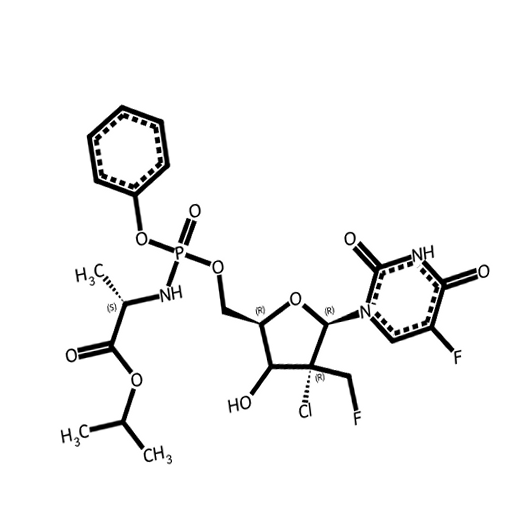 CC(C)OC(=O)[C@H](C)NP(=O)(OC[C@H]1O[C@@H](n2cc(F)c(=O)[nH]c2=O)[C@@](Cl)(CF)C1O)Oc1ccccc1